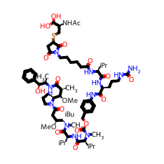 CC[C@H](C)[C@@H]([C@@H](CC(=O)N1CCC[C@H]1[C@H](OC)[C@@H](C)C(=O)N[C@H](C)[C@@H](O)c1ccccc1)OC)N(C)C(=O)[C@@H](NC(=O)[C@H](C(C)C)N(C)C(=O)OCc1ccc(NC(=O)[C@H](CCCNC(N)=O)NC(=O)[C@@H](NC(=O)CCCCCN2C(=O)CC(SC[C@H](NC(C)=O)C(O)O)C2=O)C(C)C)cc1)C(C)C